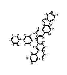 c1ccc(-c2ccc(N(c3ccc4c(ccc5c6ccccc6sc45)c3)c3ccc4ccc5ccccc5c4c3)cc2)cc1